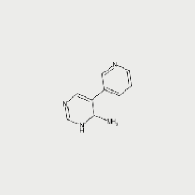 NC1NC=NC=C1c1cccnc1